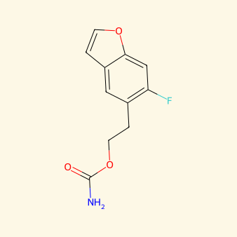 NC(=O)OCCc1cc2ccoc2cc1F